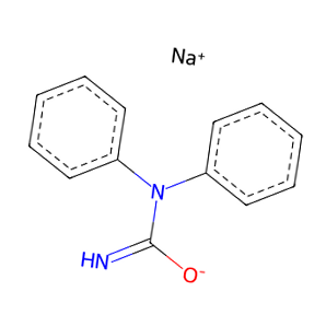 N=C([O-])N(c1ccccc1)c1ccccc1.[Na+]